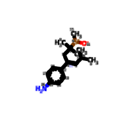 CC(C)/C=C(\CC(C)(C)[S+](C)[O-])c1ccc(N)cc1